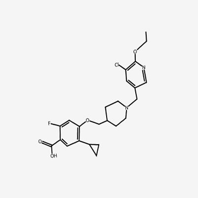 CCOc1ncc(CN2CCC(COc3cc(F)c(C(=O)O)cc3C3CC3)CC2)cc1Cl